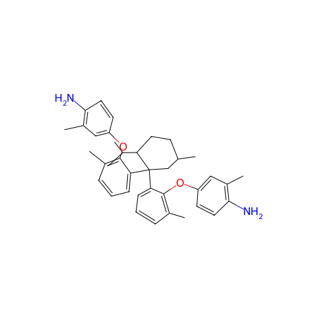 Cc1cc(Oc2c(C)cccc2C2(c3cccc(C)c3Oc3ccc(N)c(C)c3)CC(C)CCC2C(C)C)ccc1N